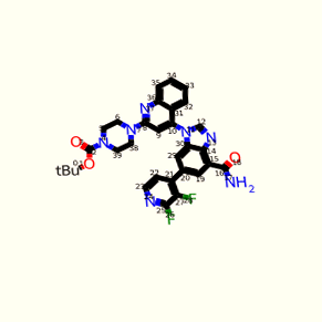 CC(C)(C)OC(=O)N1CCN(c2cc(-n3cnc4c(C(N)=O)cc(-c5ccnc(F)c5F)cc43)c3ccccc3n2)CC1